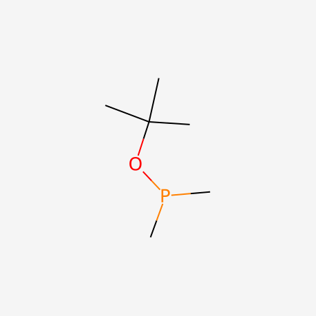 CP(C)OC(C)(C)C